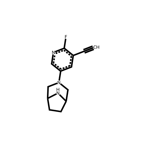 C#Cc1cc(N2CC3CCC(C2)N3)cnc1F